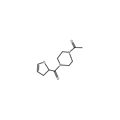 CC(=O)N1CCN(C(=O)C2CC=CO2)CC1